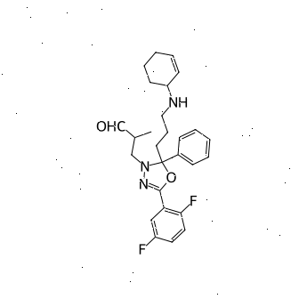 CC(C=O)CN1N=C(c2cc(F)ccc2F)OC1(CCCNC1C=CCCC1)c1ccccc1